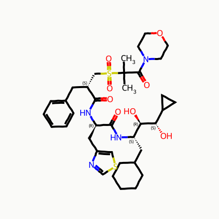 CC(C)(C(=O)N1CCOCC1)S(=O)(=O)C[C@@H](Cc1ccccc1)C(=O)N[C@H](Cc1cscn1)C(=O)N[C@@H](CC1CCCCC1)[C@@H](O)[C@@H](O)C1CC1